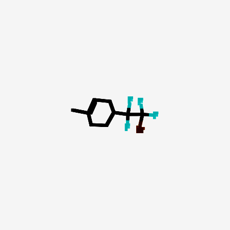 CC1=CCC(C(F)(F)C(F)(F)Br)CC1